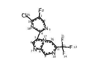 Fc1cnc(-c2cnc3cnc(C(F)(F)F)cn23)nc1Cl